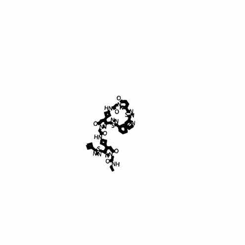 CCNC(=O)Cn1nc(-c2nnc(C34CC(C3)C4)s2)c(C2CC(NC(=O)Cn3nc(-c4nnc(-c5cccc(Cl)c5)s4)c(C4CC(NC(=O)Cn5nc(-c6nnc(-c7ccccn7)s6)ccc5=O)C4)cc3=O)C2)cc1=O